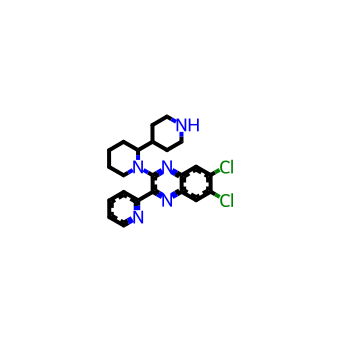 Clc1cc2nc(-c3ccccn3)c(N3CCCCC3C3CCNCC3)nc2cc1Cl